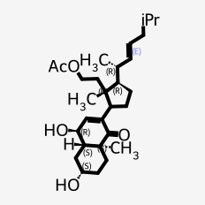 CC(=O)OCC[C@@]1(C)C(C2=C[C@H](O)[C@H]3C[C@@H](O)CC[C@]3(C)C2=O)CC[C@@H]1[C@H](C)/C=C/CC(C)C